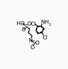 Nc1cc(Cl)ccc1Cl.O=S(=O)=NCCCS(=O)(=O)O